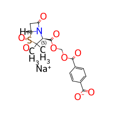 CC1(C)[C@H](C(=O)OCOC(=O)c2ccc(C(=O)[O-])cc2)N2C(=O)C[C@H]2S1(=O)=O.[Na+]